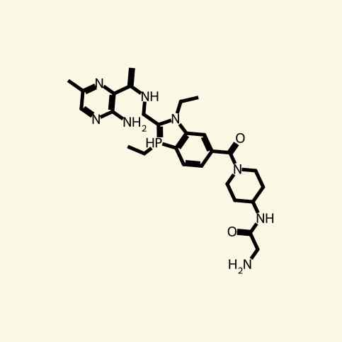 C=C(NCC1=[PH](CC)c2ccc(C(=O)N3CCC(NC(=O)CN)CC3)cc2N1CC)c1nc(C)cnc1N